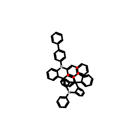 c1ccc(-c2ccc(N(c3ccc4c(c3)C3(c5ccccc5-4)c4ccccc4N(c4ccccc4)c4ccccc43)c3ccccc3-c3cccc(-c4ccccc4)c3)cc2)cc1